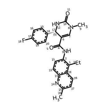 CCc1c(NC(=O)C2=CN(C)C(=O)N[C@H]2c2ccc(F)cc2)ccc2nc(C)ccc12